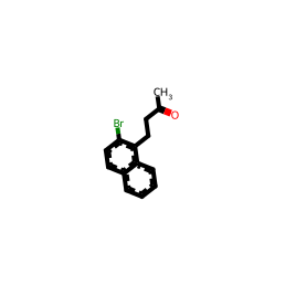 CC(=O)CCc1c(Br)ccc2ccccc12